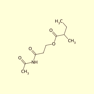 CCC(C)C(=O)OCCC(=O)NC(C)=O